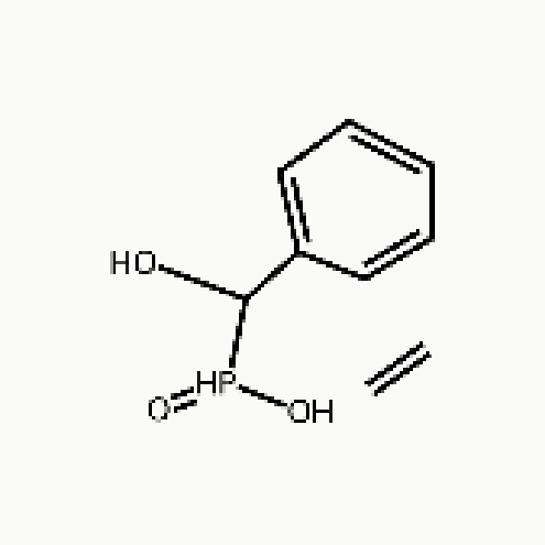 C=C.O=[PH](O)C(O)c1ccccc1